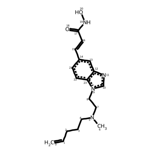 C=CCCCN(C)CCn1cnc2cc(C=CC(=O)NO)ccc21